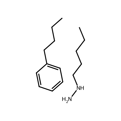 CCCCCNN.CCCCc1ccccc1